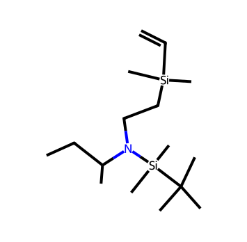 C=C[Si](C)(C)CCN(C(C)CC)[Si](C)(C)C(C)(C)C